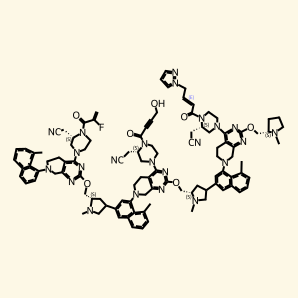 C=C(F)C(=O)N1CCN(c2nc(OC[C@@H]3CC(c4cc(N5CCc6c(nc(OC[C@@H]7CC(c8cc(N9CCc%10c(nc(OC[C@@H]%11CCCN%11C)nc%10N%10CCN(C(=O)/C=C/Cn%11cccn%11)[C@@H](CC#N)C%10)C9)c9c(C)cccc9c8)CN7C)nc6N6CCN(C(=O)C#CCO)[C@@H](CC#N)C6)C5)c5c(C)cccc5c4)CN3C)nc3c2CCN(c2cccc4cccc(C)c24)C3)C[C@@H]1CC#N